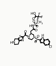 CS(=O)(=O)NC(=O)CC1CN(S(=O)(=O)c2cc3cc(Cl)ccc3[nH]2)CCN1C(=O)c1nc2c(s1)CNCC2.O=C(O)C(F)(F)F